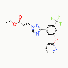 CC(C)OC(=O)/C=C/n1cnc(-c2cc(Oc3ccccn3)cc(C(F)(F)F)c2)n1